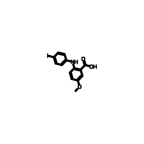 COc1ccc(Nc2ccc(I)cc2)c(C(=O)O)c1